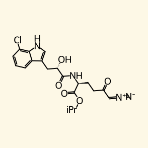 CC(C)OC(=O)[C@H](CCC(=O)C=[N+]=[N-])NC(=O)[C@@H](O)Cc1c[nH]c2c(Cl)cccc12